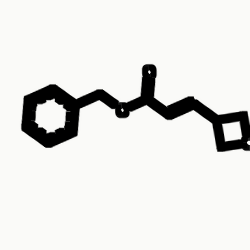 O=C(C=CC1COC1)OCc1ccccc1